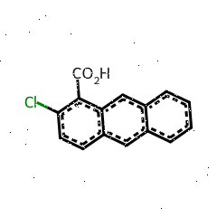 O=C(O)c1c(Cl)ccc2cc3ccccc3cc12